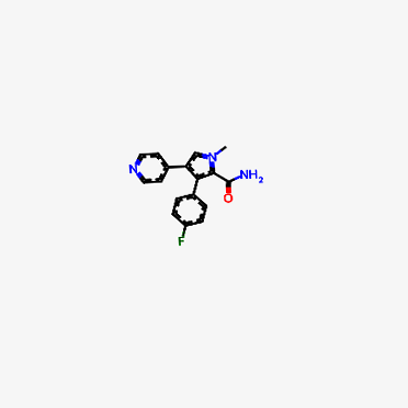 Cn1cc(-c2ccncc2)c(-c2ccc(F)cc2)c1C(N)=O